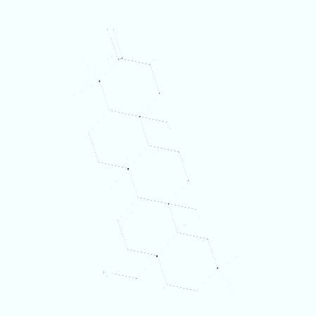 CC1(C)CCC2(CO)CC=C3C(C)(CCC4C3(C)CCC3C(C)(C)C(=O)CCC34C)C2C1